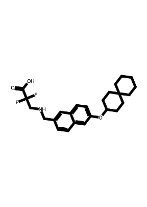 O=C(O)C(F)(F)CNCc1ccc2cc(OC3CCC4(CCCCC4)CC3)ccc2c1